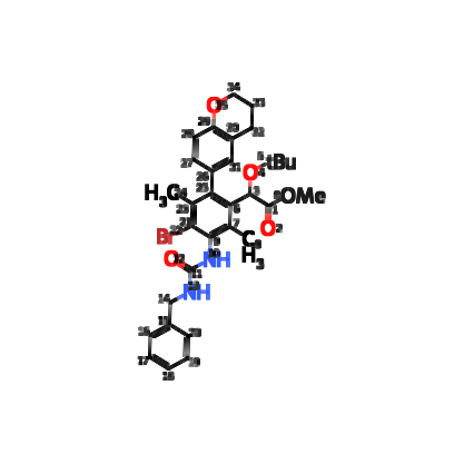 COC(=O)C(OC(C)(C)C)c1c(C)c(NC(=O)NCc2ccccc2)c(Br)c(C)c1-c1ccc2c(c1)CCCO2